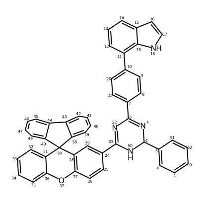 c1ccc(C2N=C(c3ccc(-c4cccc5cc[nH]c45)cc3)N=C(c3ccc4c(c3)C3(c5ccccc5O4)c4ccccc4-c4ccccc43)N2)cc1